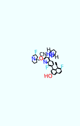 C#Cc1c(F)ccc2cc(O)cc(-c3ccc4c(N5C[C@H]6CC[C@@H](C5)N6)c(C#N)c(OC[C@@]56CCCN5C[C@H](F)C6)nc4c3F)c12